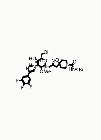 CO[C@@H]1[C@@H](n2cc(-c3cc(F)c(F)c(F)c3)nn2)[C@@H](O)[C@@H](CO)O[C@@H]1CC1=NOC2(CCN(C(=O)NC(C)(C)C)CC2)C1